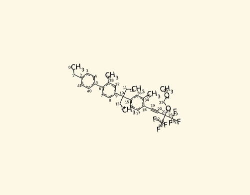 CCc1ccc(-c2ccc(C(CC)(CC)c3ccc(C#CC(OCOC)(C(F)(F)F)C(F)(F)F)c(C)c3)cc2C)cc1